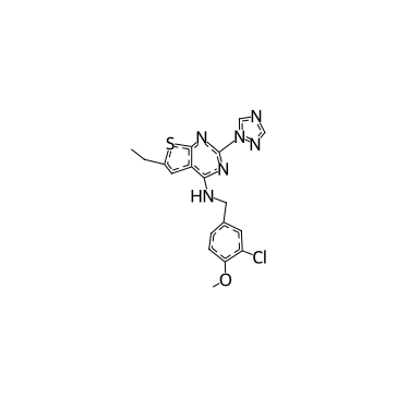 CCc1cc2c(NCc3ccc(OC)c(Cl)c3)nc(-n3cncn3)nc2s1